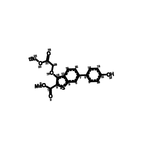 COC(=O)c1sc2cc(-c3ccc(O)cc3)ccc2c1OCC(=O)OC(C)(C)C